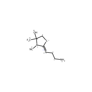 N#CN1/C(=N/CCN)SCC1(O)C(F)(F)F